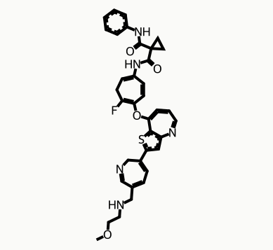 COCCNCC1=CC=C(c2cc3c(s2)C(OC2=C(F)CC=C(NC(=O)C4(C(=O)Nc5ccccc5)CC4)C=C2)=C=CC=N3)CN=C1